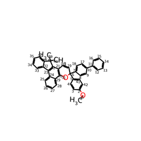 COc1ccc(C2(c3ccc(-c4ccccc4)cc3)C=Cc3c4c(c5ccccc5c3O2)-c2ccccc2C4(C)C)cc1